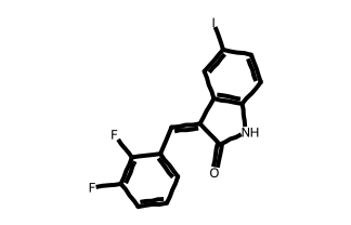 O=C1Nc2ccc(I)cc2C1=Cc1cccc(F)c1F